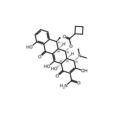 C[C@@H]1c2cccc(O)c2C(=O)C2=C(O)[C@]3(O)C(=O)C(C(N)=O)=C(O)[C@@H](N(C)C)[C@@H]3[C@@H](OC(=O)C3CCC3)[C@@H]21